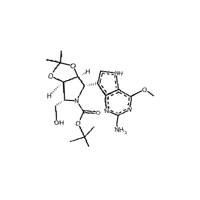 COc1nc(N)nc2c([C@H]3[C@@H]4OC(C)(C)O[C@@H]4[C@@H](CO)N3C(=O)OC(C)(C)C)c[nH]c12